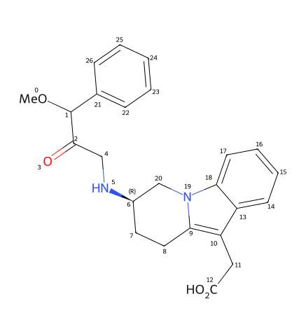 COC(C(=O)CN[C@@H]1CCc2c(CC(=O)O)c3ccccc3n2C1)c1ccccc1